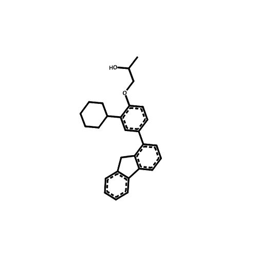 CC(O)COc1ccc(-c2cccc3c2Cc2ccccc2-3)cc1C1CCCCC1